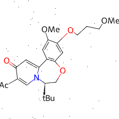 COCCCOc1cc2c(cc1OC)-c1cc(=O)c(C(C)=O)cn1[C@H](C(C)(C)C)CO2